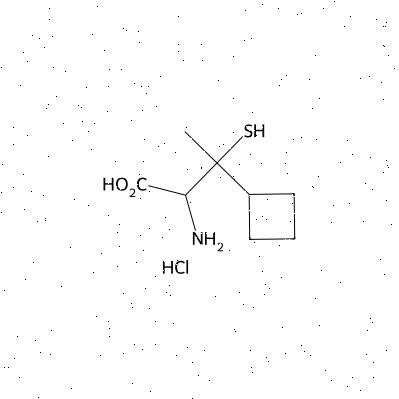 CC(S)(C1CCC1)C(N)C(=O)O.Cl